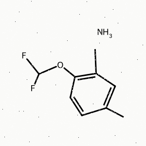 Cc1ccc(OC(F)F)c(C)c1.N